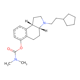 CN(C)C(=O)Oc1cccc2c1CC[C@@H]1[C@H]2CCN1CCC1CCCC1